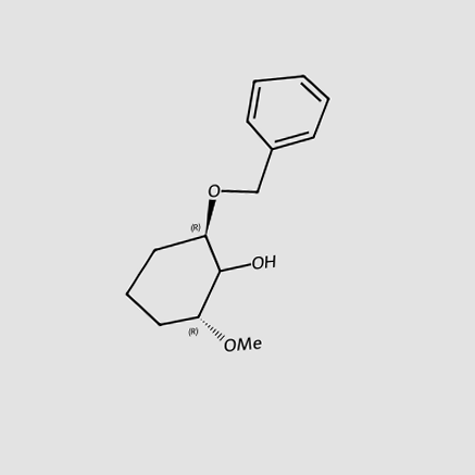 CO[C@@H]1CCC[C@@H](OCc2ccccc2)C1O